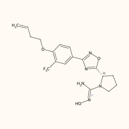 C=CCCOc1ccc(-c2noc([C@@H]3CCCN3/C(N)=N/O)n2)cc1C(F)(F)F